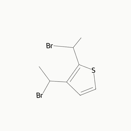 CC(Br)c1ccsc1C(C)Br